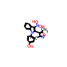 Cc1noc(C)c1-c1c(N(O)O)c2ccccc2n1-c1ccc(O)cc1